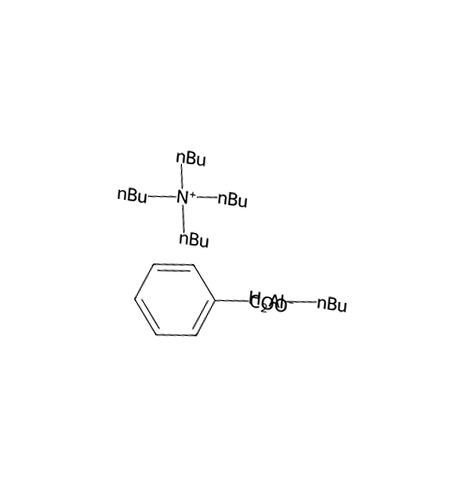 CCCC[N+](CCCC)(CCCC)CCCC.CCC[CH2][AlH2].O=C([O-])c1ccccc1